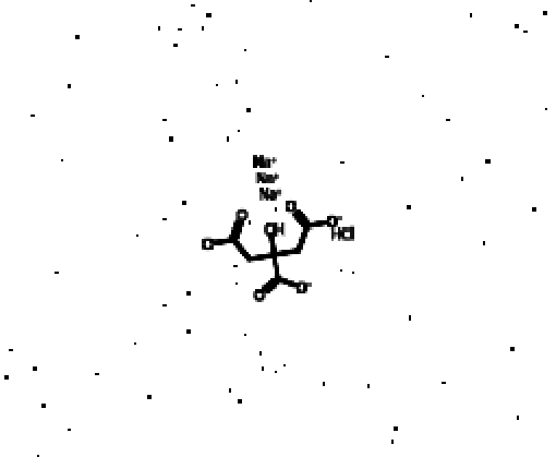 Cl.O=C([O-])CC(O)(CC(=O)[O-])C(=O)[O-].[Na+].[Na+].[Na+]